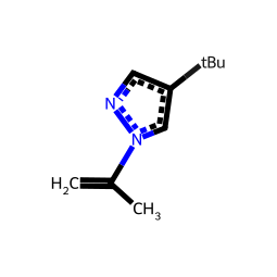 C=C(C)n1cc(C(C)(C)C)cn1